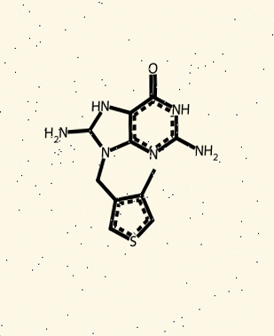 Cc1cscc1CN1c2nc(N)[nH]c(=O)c2NC1N